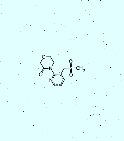 CS(=O)(=O)Cc1cccnc1N1CCOCC1=O